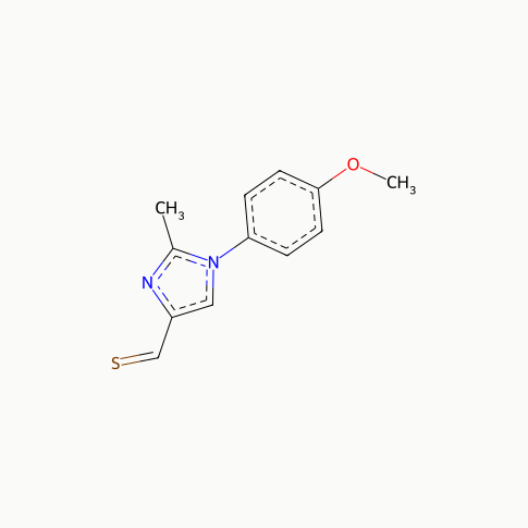 COc1ccc(-n2cc(C=S)nc2C)cc1